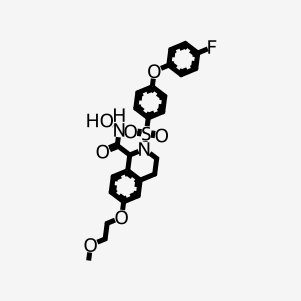 COCCOc1ccc2c(c1)CCN(S(=O)(=O)c1ccc(Oc3ccc(F)cc3)cc1)C2C(=O)NO